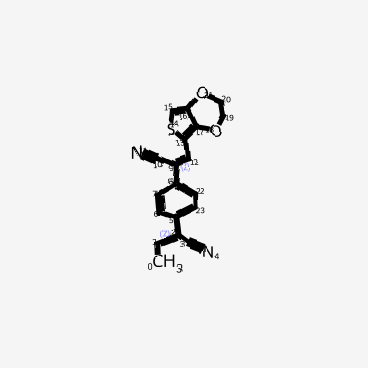 C/C=C(\C#N)c1ccc(/C(C#N)=C/c2scc3c2OCCO3)cc1